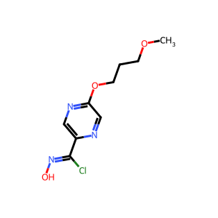 COCCCOc1cnc(C(Cl)=NO)cn1